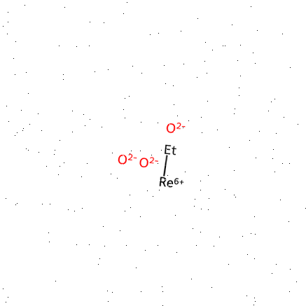 C[CH2][Re+6].[O-2].[O-2].[O-2]